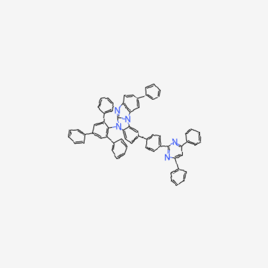 c1ccc(-c2cc(-c3ccccc3)c(-n3c4ccc(-c5ccc(-c6nc(-c7ccccc7)cc(-c7ccccc7)n6)cc5)cc4n4c5cc(-c6ccccc6)ccc5nc34)c(-c3ccccc3)c2)cc1